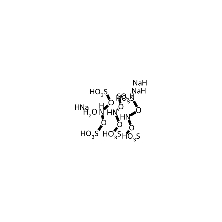 O.O=S(=O)(O)ONOS(=O)(=O)O.O=S(=O)(O)ONOS(=O)(=O)O.O=S(=O)(O)ONOS(=O)(=O)O.[NaH].[NaH].[NaH]